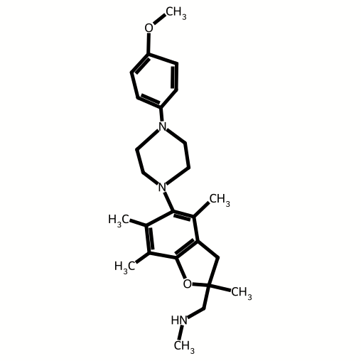 CNCC1(C)Cc2c(C)c(N3CCN(c4ccc(OC)cc4)CC3)c(C)c(C)c2O1